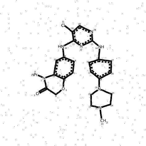 CCCN1C(=O)COc2ccc(Nc3nc(Nc4ccc(N5CCN(C)CC5)cc4)ncc3Cl)cc21